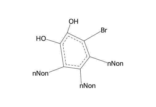 CCCCCCCCCc1c(O)c(O)c(Br)c(CCCCCCCCC)c1CCCCCCCCC